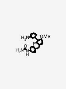 COc1ccc(Cc2ccc(NC(N)=O)cc2)c(F)c1-c1cccc(N)c1